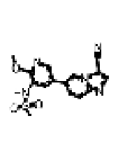 COc1ncc(-c2ccc3ncc(C#N)n3c2)cc1NS(C)(=O)=O